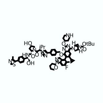 Cc1ncsc1-c1ccc([C@H](CO)NC(=O)[C@@H]2C[C@@H](O)CN2C(=O)[C@H](C(C)C)n2cc(-c3ccc(COc4c(-c5c(C)c(F)cc6c5cnn6C5CCCCO5)c(C5CC5)cc5c(N6C[C@@H]7C[C@H]6CN7C(=O)OC(C)(C)C)nc(OC6CCNCC6)nc45)cc3)nn2)cc1